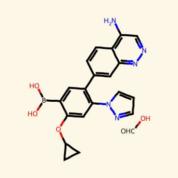 Nc1cnnc2cc(-c3cc(B(O)O)c(OC4CC4)cc3-n3cccn3)ccc12.O=CO